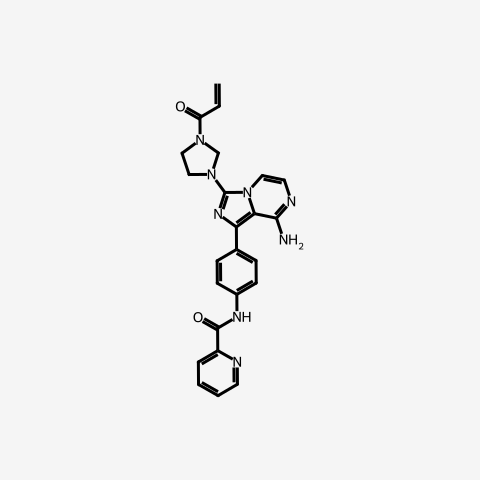 C=CC(=O)N1CCN(c2nc(-c3ccc(NC(=O)c4ccccn4)cc3)c3c(N)nccn23)C1